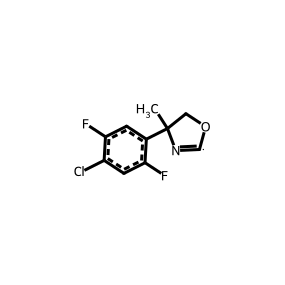 CC1(c2cc(F)c(Cl)cc2F)CO[C]=N1